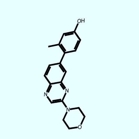 Cc1cc(O)ccc1-c1ccc2ncc(N3CCOCC3)nc2c1